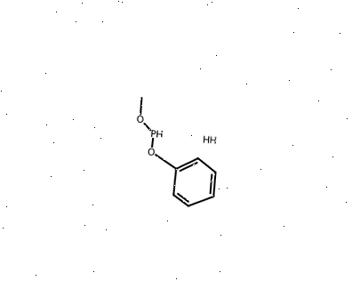 COPOc1ccccc1.[HH]